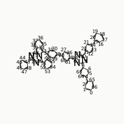 c1ccc(-c2ccc(-c3nc(-c4ccc(-c5ccccc5)cc4)nc(-c4ccc(-c5ccc(-c6c7ccccc7c7nc(-c8ccccc8)nc(-c8ccccc8)n67)cc5)cc4)n3)cc2)cc1